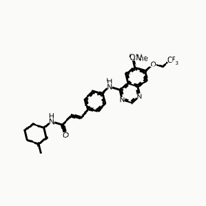 COc1cc2c(Nc3ccc(C=CC(=O)NC4CCCC(C)C4)cc3)ncnc2cc1OCC(F)(F)F